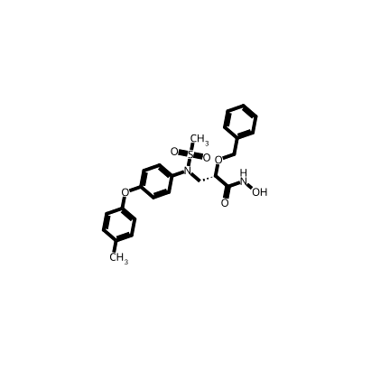 Cc1ccc(Oc2ccc(N(C[C@H](OCc3ccccc3)C(=O)NO)S(C)(=O)=O)cc2)cc1